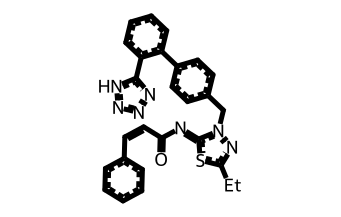 CCc1nn(Cc2ccc(-c3ccccc3-c3nnn[nH]3)cc2)c(=NC(=O)C=Cc2ccccc2)s1